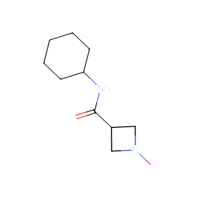 O=C(NC1CCCCC1)C1CN(I)C1